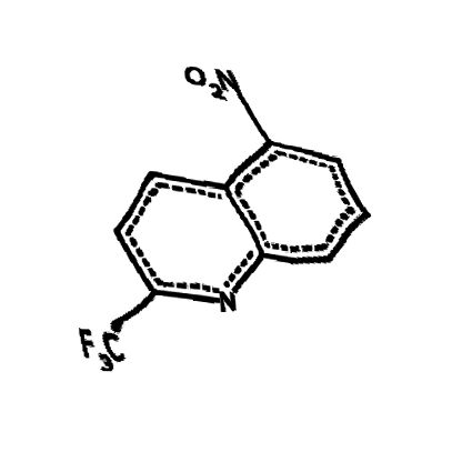 O=[N+]([O-])c1cccc2nc(C(F)(F)F)ccc12